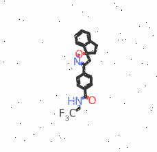 O=C(NCC(F)(F)F)c1ccc(C2=NOC3(CCc4ccccc43)C2)cc1